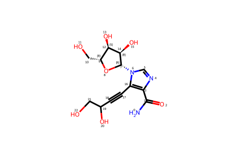 NC(=O)c1ncn([C@@H]2O[C@H](CO)[C@@H](O)[C@H]2O)c1C#CC(O)CO